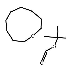 C1CCCCCCCCC1.CC(C)(C)OC=O